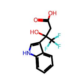 O=C(O)CC(O)(c1c[nH]c2ccccc12)C(F)(F)F